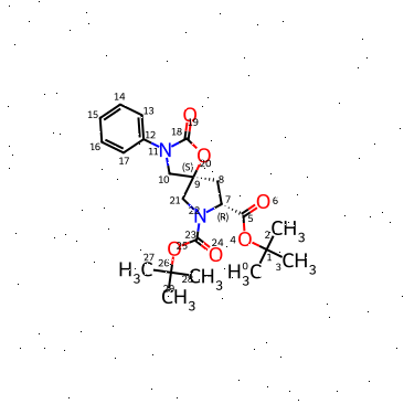 CC(C)(C)OC(=O)[C@H]1C[C@@]2(CN(c3ccccc3)C(=O)O2)CN1C(=O)OC(C)(C)C